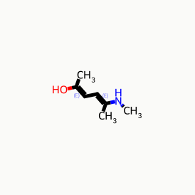 CN/C(C)=C/C=C(\C)O